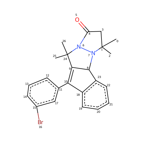 CC1(C)CC(=O)N2N1C1C(=C(c3cccc(Br)c3)c3ccccc31)C2(C)C